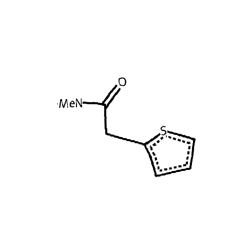 C[N]C(=O)Cc1cccs1